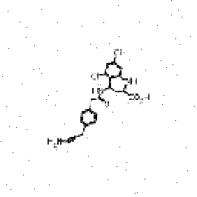 NC#CCc1ccc(CC(=O)NC2CC(C(=O)O)Nc3cc(Cl)cc(Cl)c32)cc1